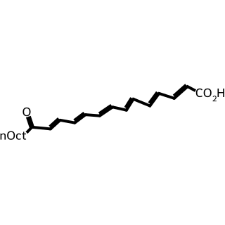 CCCCCCCCC(=O)C=CC=CC=CC=CC=CC=CC(=O)O